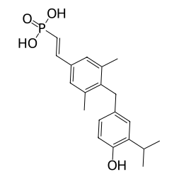 Cc1cc(/C=C/P(=O)(O)O)cc(C)c1Cc1ccc(O)c(C(C)C)c1